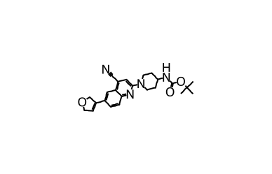 CC(C)(C)OC(=O)NC1CCN(c2cc(C#N)c3cc(C4=CCOC4)ccc3n2)CC1